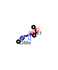 CCc1c(C(=O)c2ccccc2)oc2c(C(=O)NCCCN3CCN(c4ccccc4OC)CC3)cccc12